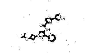 CC(C)OC1CC(n2cc(NC(=O)c3csc(-c4cn[nH]c4)n3)c(-c3ccccn3)n2)C1